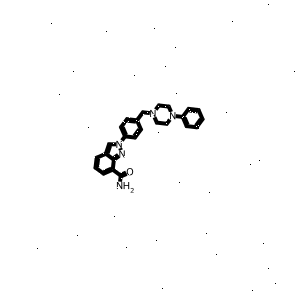 NC(=O)c1cccc2cn(-c3ccc(CN4CCN(c5ccccc5)CC4)cc3)nc12